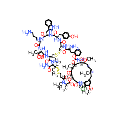 COc1cc2cc(c1Cl)N(C)C(=O)C[C@H](OC(=O)[C@H](C)N(C)C(=O)CCSSC(C)(C)[C@H](NC(=O)[C@@H]1CSSC[C@H](NC(=O)[C@H](N)Cc3ccccc3)C(=O)N[C@@H](Cc3ccc(O)cc3)C(=O)N[C@H](Cc3c[nH]c4ccccc34)C(=O)N[C@@H](CCCCN)C(=O)N[C@@H]([C@@H](C)O)C(=O)N1)C(N)=O)[C@]1(C)OC1[C@H](C)[C@@H]1C[C@@](O)(NC(=O)O1)[C@H](OC)/C=C/C=C(\C)C2